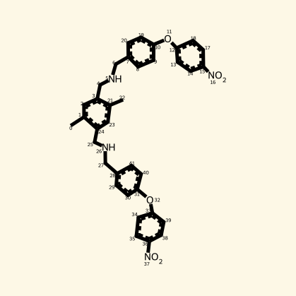 Cc1cc(CNCc2ccc(Oc3ccc([N+](=O)[O-])cc3)cc2)c(C)cc1CNCc1ccc(Oc2ccc([N+](=O)[O-])cc2)cc1